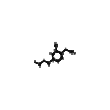 BCc1ccc(OCOC)cc1Cl